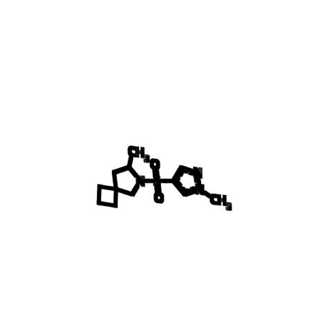 CC1CC2(CCC2)CN1S(=O)(=O)c1cnn(C)c1